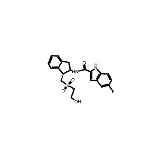 O=C(N[C@@H]1Cc2ccccc2[C@@H]1CS(=O)(=O)CCO)c1cc2cc(F)ccc2[nH]1